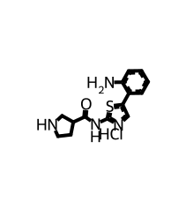 Cl.Nc1ccccc1-c1cnc(NC(=O)C2CCNC2)s1